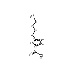 CC(=O)CCCCc1nc(C(=O)Cl)co1